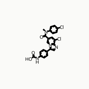 CN(C(=O)c1cc(Cl)c2ncc(-c3ccc(NC(=O)O)cc3)n2c1)c1ccc(Cl)cc1